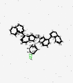 CC1=Cc2c(-c3cccc4ccccc34)cccc2[CH]1[Ti+2]1([CH]2C(C)=Cc3c(-c4cccc5ccccc45)cccc32)[CH]2CCCC[CH]21.[Cl-].[Cl-]